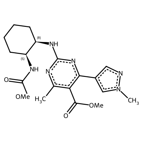 COC(=O)N[C@H]1CCCC[C@H]1Nc1nc(C)c(C(=O)OC)c(-c2cnn(C)c2)n1